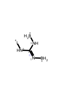 B/N=C(\NB)NI